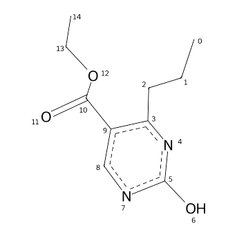 CCCc1nc(O)ncc1C(=O)OCC